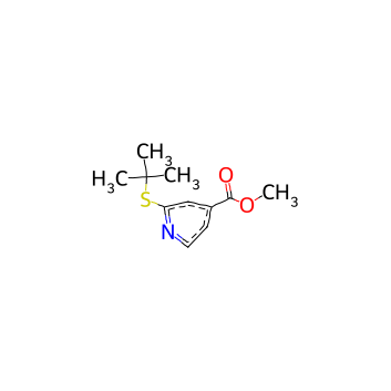 COC(=O)c1ccnc(SC(C)(C)C)c1